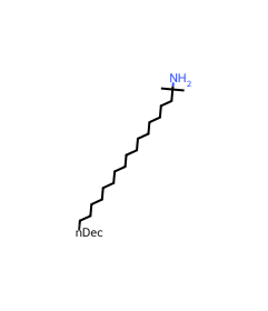 CCCCCCCCCCCCCCCCCCCCCCCCCCC(C)(C)N